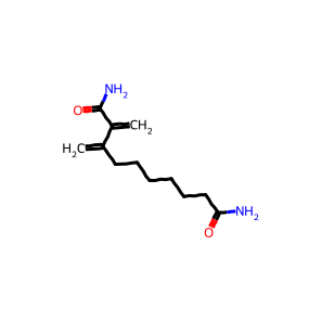 C=C(CCCCCCC(N)=O)C(=C)C(N)=O